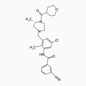 Cc1c(CN2CCN(C(=O)C3CCOCC3)[C@@H](C)C2)cc(Cl)cc1NC(=O)c1cccc(C#N)c1